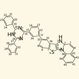 C1=CC2Nc3c(sc4ccc(-c5cccc(C6=NC(c7ccccc7)NC(c7ccccc7)=N6)c5)cc34)N2c2ccccc21